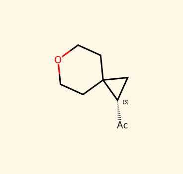 CC(=O)[C@H]1CC12CCOCC2